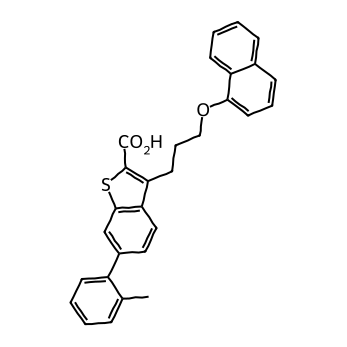 Cc1ccccc1-c1ccc2c(CCCOc3cccc4ccccc34)c(C(=O)O)sc2c1